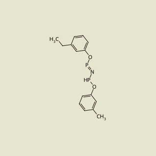 CCc1cccc(OP=NPOc2cccc(C)c2)c1